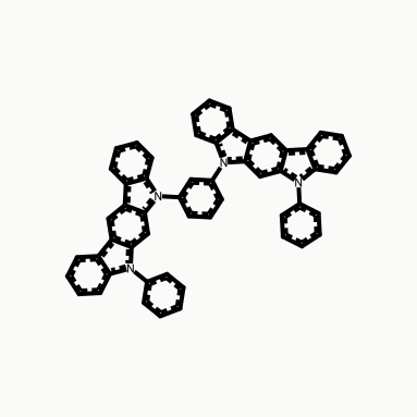 c1ccc(-n2c3ccccc3c3cc4c5ccccc5n(-c5cccc(-n6c7ccccc7c7cc8c9ccccc9n(-c9ccccc9)c8cc76)c5)c4cc32)cc1